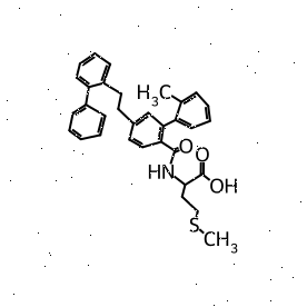 CSCCC(NC(=O)c1ccc(CCc2ccccc2-c2ccccc2)cc1-c1ccccc1C)C(=O)O